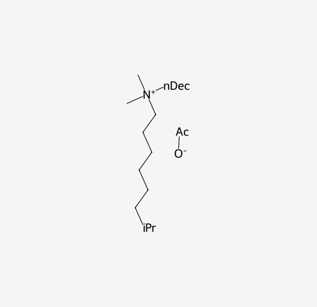 CC(=O)[O-].CCCCCCCCCC[N+](C)(C)CCCCCCC(C)C